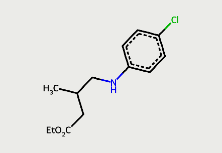 CCOC(=O)CC(C)CNc1ccc(Cl)cc1